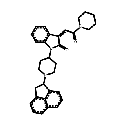 O=C(C=C1C(=O)N(C2CCN(C3Cc4cccc5cccc3c45)CC2)c2ccccc21)N1CCCCC1